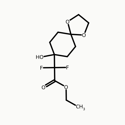 CCOC(=O)C(F)(F)C1(O)CCC2(CC1)OCCO2